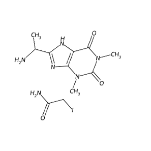 CC(N)c1nc2c([nH]1)c(=O)n(C)c(=O)n2C.NC(=O)CI